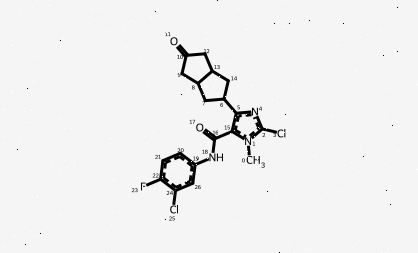 Cn1c(Cl)nc(C2CC3CC(=O)CC3C2)c1C(=O)Nc1ccc(F)c(Cl)c1